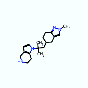 Cn1cc2c(n1)CCC(CC(C)(C)n1ccc3c1CCNC3)C2